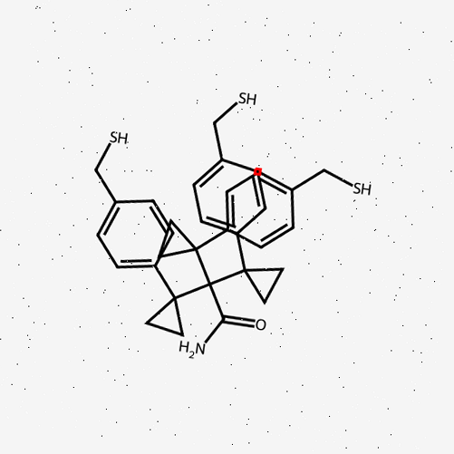 NC(=O)C(C1(c2ccc(CS)cc2)CC1)(C1(c2ccc(CS)cc2)CC1)C1(c2ccc(CS)cc2)CC1